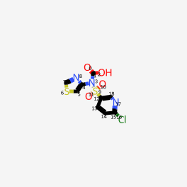 O=C(O)N(c1cscn1)S(=O)(=O)c1ccc(Cl)nc1